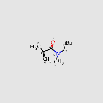 C=C(C)C(=O)N(C)C[C@@H](C)CC